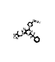 Cc1nonc1Cn1nnc2c(N3CCC(N=[N+]=[N-])C3)nc(C(F)(F)c3ccccc3)nc21